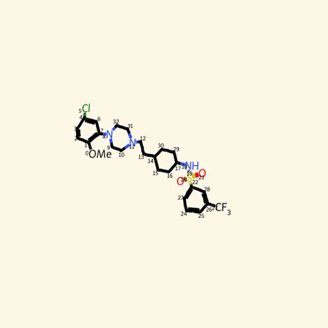 COc1ccc(Cl)cc1N1CCN(CCC2CCC(NS(=O)(=O)c3cccc(C(F)(F)F)c3)CC2)CC1